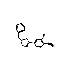 N#Cc1ccc(C2=CCN(Cc3ccccc3)C2)cc1F